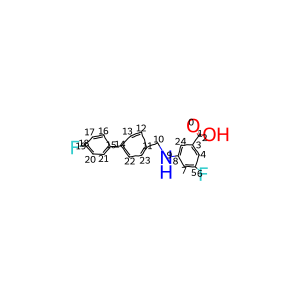 O=C(O)c1cc(F)cc(NCc2ccc(-c3ccc(F)cc3)cc2)c1